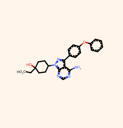 Nc1ncnc2c1c(-c1ccc(Oc3ccccc3)cc1)nn2C1CCC(O)(CC(=O)O)CC1